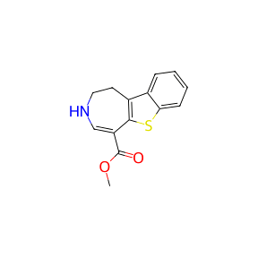 COC(=O)C1=CNCCc2c1sc1ccccc21